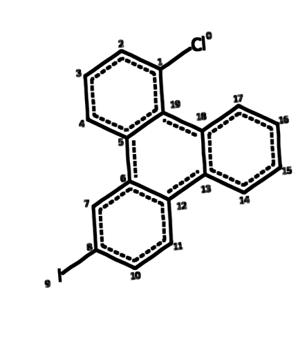 Clc1cccc2c3cc(I)ccc3c3ccccc3c12